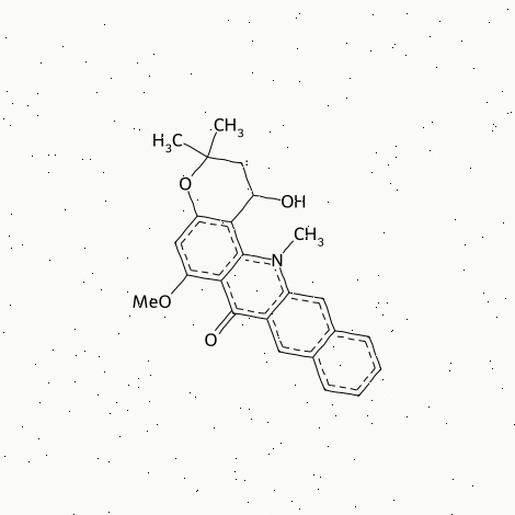 COc1cc2c(c3c1c(=O)c1cc4ccccc4cc1n3C)C(O)[C]C(C)(C)O2